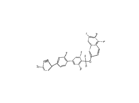 CCc1ccc(-c2ccc(-c3cc(F)c(C(F)(F)Oc4ccc5c(F)c(F)c(F)cc5c4)c(F)c3)c(F)c2)cc1